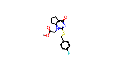 COC(=O)Cn1c(SCc2ccc(F)cc2)nc(=O)c2c1CCC2